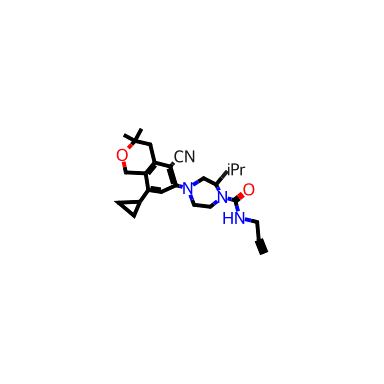 C#CCNC(=O)N1CCN(c2cc(C3CC3)c3c(c2C#N)CC(C)(C)OC3)CC1C(C)C